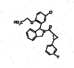 O=C(O)COc1ccc(Cl)cc1C1c2ccccc2CN1C(=O)C1CC1c1cccc(F)c1